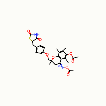 CC(=O)O/N=C1/CC(C)(COc2ccc(CC3SC(=O)NC3=O)cc2)Oc2c(C)c(C)c(OC(C)=O)c(C)c21